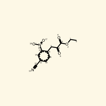 CCOC(=O)C(=O)Cc1ccc(C#N)cc1[N+](=O)[O-]